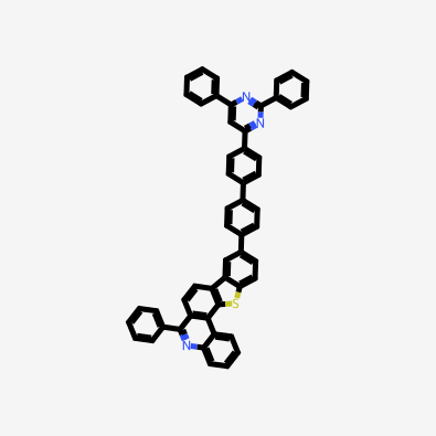 c1ccc(-c2cc(-c3ccc(-c4ccc(-c5ccc6sc7c(ccc8c(-c9ccccc9)nc9ccccc9c87)c6c5)cc4)cc3)nc(-c3ccccc3)n2)cc1